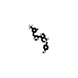 COc1ccc(CN2CCc3c(ccnc3-c3cc(Cc4cc(F)cc(C(F)(F)F)c4)ncn3)C2=O)cc1